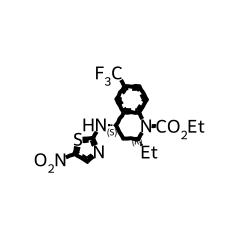 CCOC(=O)N1c2ccc(C(F)(F)F)cc2[C@@H](Nc2ncc([N+](=O)[O-])s2)C[C@H]1CC